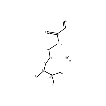 C=CC(=O)OCCCC(C)N(C)C.Cl